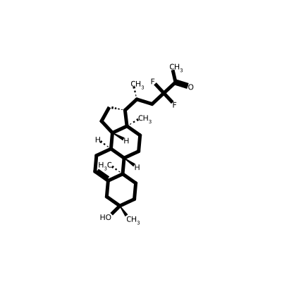 CC(=O)C(F)(F)C[C@@H](C)[C@H]1CC[C@H]2[C@@H]3CC=C4C[C@@](C)(O)CC[C@]4(C)[C@H]3CC[C@]12C